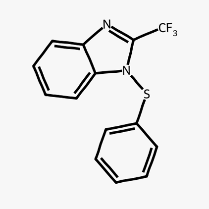 FC(F)(F)c1nc2ccccc2n1Sc1ccccc1